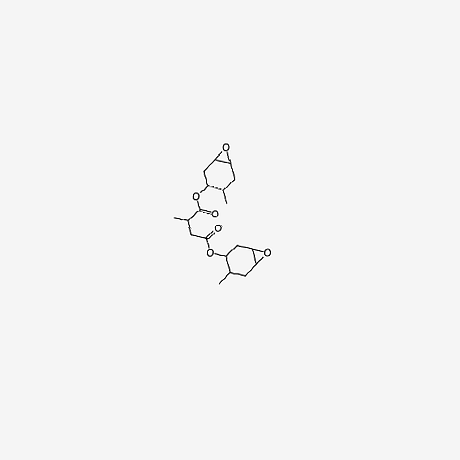 CC(CC(=O)OC1CC2OC2CC1C)C(=O)OC1CC2OC2CC1C